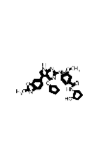 COc1cc(C(=O)N[C@@H]2CCCC2O)ccc1Nc1nc(OC2CCCC2)c2c(-c3ccc4nc(C)oc4c3)c[nH]c2n1